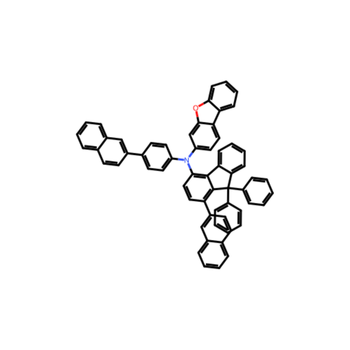 c1ccc(C2(c3ccccc3)c3ccccc3-c3c(N(c4ccc(-c5ccc6ccccc6c5)cc4)c4ccc5c(c4)oc4ccccc45)ccc(-c4ccc5ccccc5c4)c32)cc1